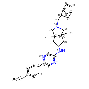 CC(=O)Nc1ccc(-c2cnc(NC3C[C@@H]4CN(CC5CC6C=CC5C6)C[C@@H]4C3)cn2)cc1